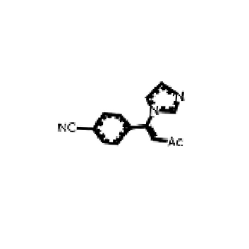 CC(=O)/C=C(/c1ccc(C#N)cc1)n1ccnc1